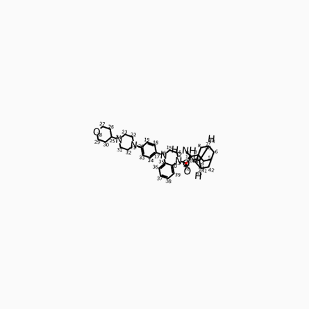 NC(=O)C12CC3C[C@H](C1)C(NC(=O)N1CCN(c4ccc(N5CCN(C6CCOCC6)CC5)cc4)c4ccccc41)[C@@H](C3)C2